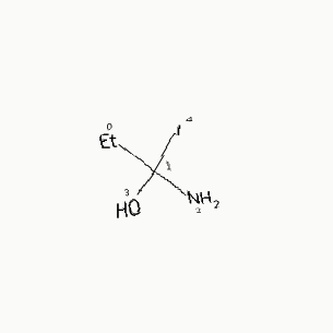 CCC(N)(O)I